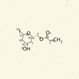 C=CC(=O)OC[C@@H]1C[C@H](O)CC(I)O1